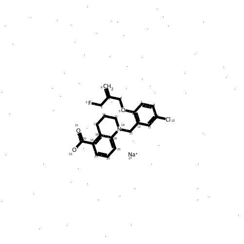 C=C(CF)COc1ccc(Cl)cc1CN1CCCc2c(C(=O)[O-])cccc21.[Na+]